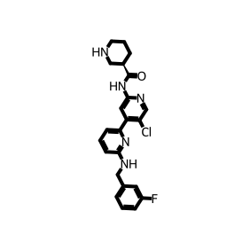 O=C(Nc1cc(-c2cccc(NCc3cccc(F)c3)n2)c(Cl)cn1)[C@@H]1CCCNC1